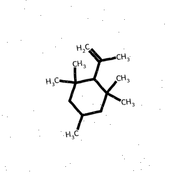 C=C(C)C1C(C)(C)CC(C)CC1(C)C